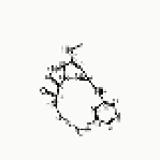 CNc1cc2nn3c(cnc13)C(=O)NCCOCc1cncc(n1)N2